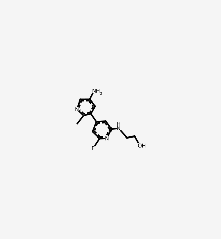 Cc1ncc(N)cc1-c1cc(F)nc(NCCO)c1